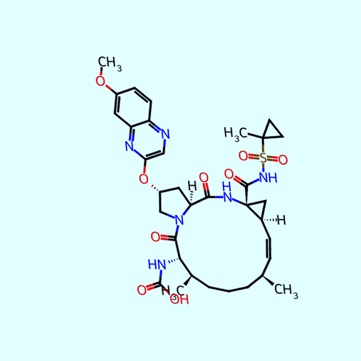 COc1ccc2ncc(O[C@@H]3C[C@H]4C(=O)N[C@]5(C(=O)NS(=O)(=O)C6(C)CC6)C[C@H]5C=C[C@@H](C)CCC[C@@H](C)[C@H](NC(=O)O)C(=O)N4C3)nc2c1